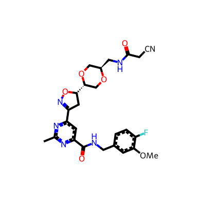 COc1cc(CNC(=O)c2cc(C3=NOC([C@H]4CO[C@H](CNC(=O)CC#N)CO4)C3)nc(C)n2)ccc1F